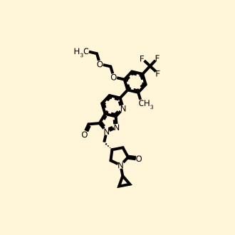 CCOCOc1cc(C(F)(F)F)cc(C)c1-c1ccc2c(C=O)n(C[C@@H]3CC(=O)N(C4CC4)C3)nc2n1